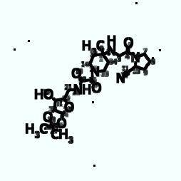 CC1(NCC(=O)N2CCCC2C#N)CCN(C(=O)C(=O)NCC2OC3OC(C)(C)OC3C2O)CC1